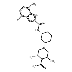 CC(=O)N1[C@H](C)CN([C@H]2CCC[C@@H](NC(=O)c3cc4c(F)ccc(C)c4[nH]3)C2)C[C@H]1C